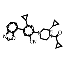 N#Cc1cc(-c2cccc3ncoc23)c(C2CC2)nc1N1CCN(C(=O)C2CC2)[C@H](C2CC2)C1